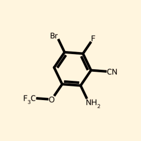 N#Cc1c(N)c(OC(F)(F)F)cc(Br)c1F